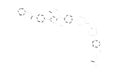 NC(=O)CCNc1ccc(N2CCC(CN3CCN(c4ccc5c(c4)CCn4nc(-c6ccc(C(=O)Nc7nccc(C(F)(F)F)c7F)cc6)c(C(N)=O)c4N5)CC3)CC2)cc1